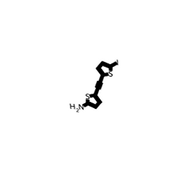 Nc1ccc(C#Cc2ccc(I)s2)s1